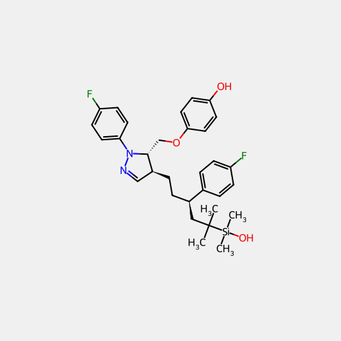 CC(C)(C[C@@H](CC[C@H]1C=NN(c2ccc(F)cc2)[C@@H]1COc1ccc(O)cc1)c1ccc(F)cc1)[Si](C)(C)O